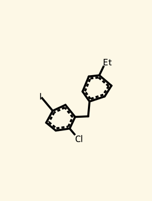 CCc1ccc(Cc2cc(I)ccc2Cl)cc1